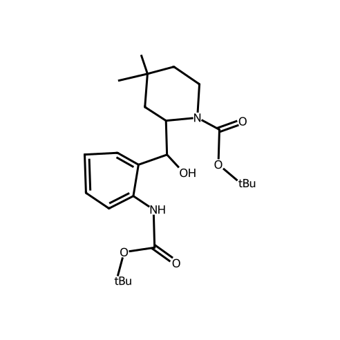 CC1(C)CCN(C(=O)OC(C)(C)C)C(C(O)c2ccccc2NC(=O)OC(C)(C)C)C1